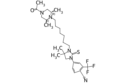 CC(=O)N1C[C@@H](C)N(CCCCCCCN2C(=S)N(c3ccc(C#N)c(C(F)(F)F)c3)CC2(C)C)[C@@H](C)C1